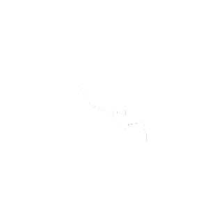 C=C=CPOSI